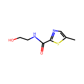 Cc1cnc(C(=O)NCCO)s1